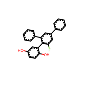 Oc1ccc(O)c(-c2c(F)cc(-c3ccccc3)cc2-c2ccccc2)c1